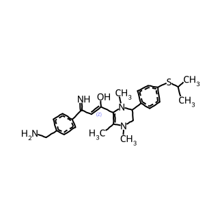 CC1=C(/C(O)=C/C(=N)c2ccc(CN)cc2)N(C)C(c2ccc(SC(C)C)cc2)CN1C